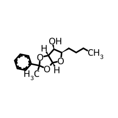 CCCC[C@H]1O[C@@H]2OC(C)(c3ccccc3)O[C@@H]2[C@H]1O